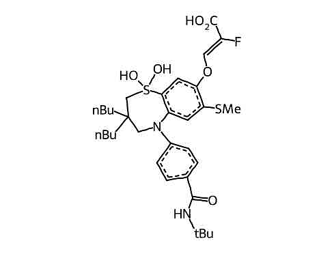 CCCCC1(CCCC)CN(c2ccc(C(=O)NC(C)(C)C)cc2)c2cc(SC)c(OC=C(F)C(=O)O)cc2S(O)(O)C1